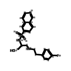 CC(CNCCc1ccc(F)cc1)NS(=O)(=O)c1ccc2cnccc2c1.Cl